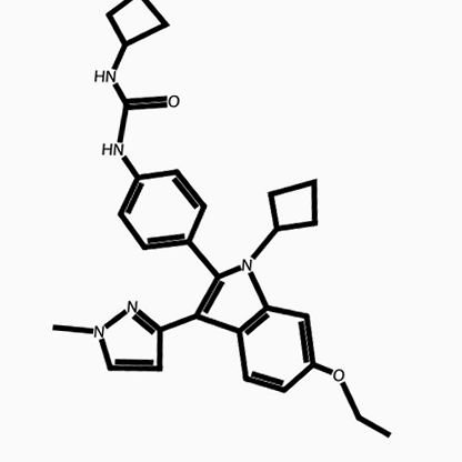 CCOc1ccc2c(-c3ccn(C)n3)c(-c3ccc(NC(=O)NC4CCC4)cc3)n(C3CCC3)c2c1